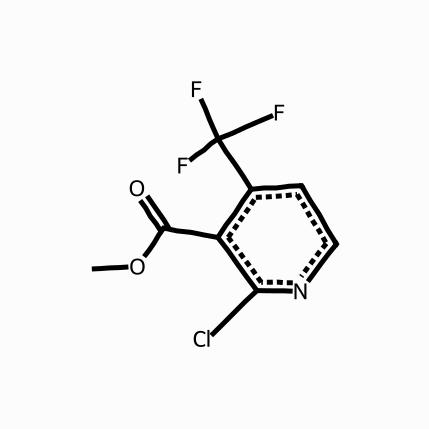 COC(=O)c1c(C(F)(F)F)ccnc1Cl